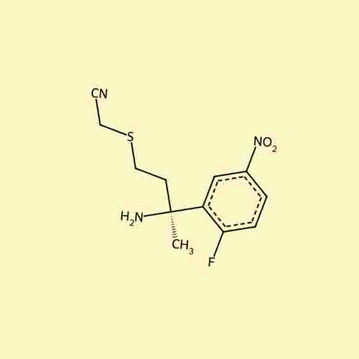 C[C@](N)(CCSCC#N)c1cc([N+](=O)[O-])ccc1F